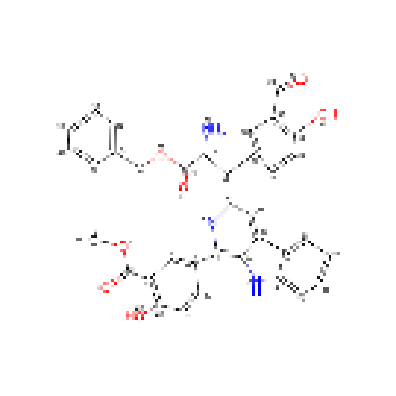 COC(=O)c1cc(-c2nccc3c2[nH]c2ccccc23)ccc1O.NC(Cc1ccc(O)c(C=O)c1)C(=O)OCc1ccccc1